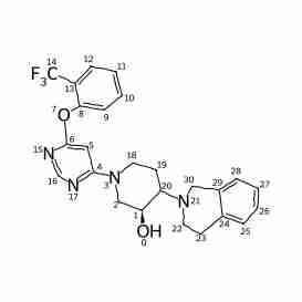 O[C@H]1CN(c2cc(Oc3ccccc3C(F)(F)F)ncn2)CCC1N1CCc2ccccc2C1